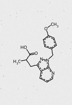 COc1ccc(Cn2nc(CC(C)C(=O)O)c3cccnc32)cc1